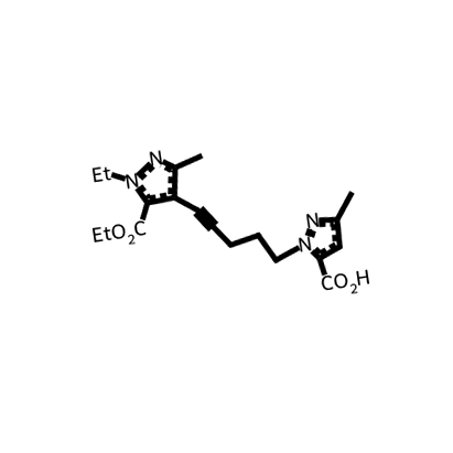 CCOC(=O)c1c(C#CCCCn2nc(C)cc2C(=O)O)c(C)nn1CC